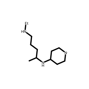 CCNCCCC(C)NC1CC[N]CC1